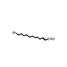 CC(C)CCCCCCCCC/C=C/[C]=O